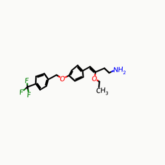 CCOC(=Cc1ccc(OCc2ccc(C(F)(F)F)cc2)cc1)CCN